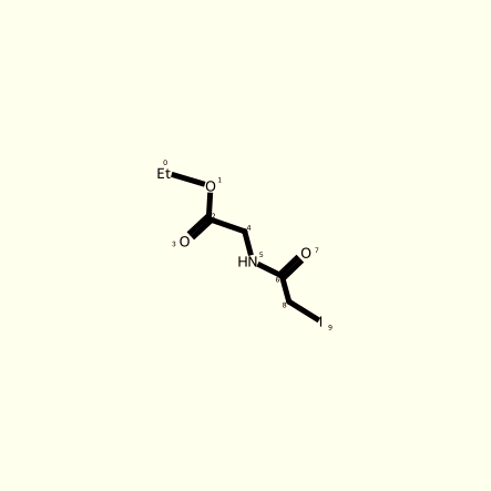 CCOC(=O)CNC(=O)CI